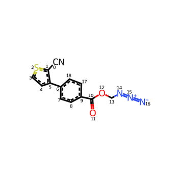 N#Cc1sccc1-c1ccc(C(=O)OCN=[N+]=[N-])cc1